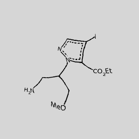 CCOC(=O)c1c(I)cnn1C(CN)COC